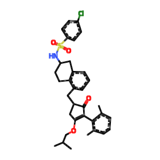 Cc1cccc(C)c1C1=C(OCC(C)C)CC(Cc2cccc3c2CCC(NS(=O)(=O)c2ccc(Cl)cc2)C3)C1=O